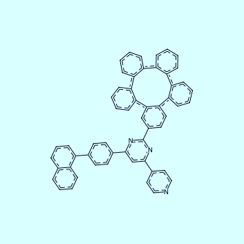 c1ccc2c(-c3ccc(-c4cc(-c5ccncc5)nc(-c5ccc6c7ccccc7c7ccccc7c7ccccc7c7ccccc7c6c5)n4)cc3)cccc2c1